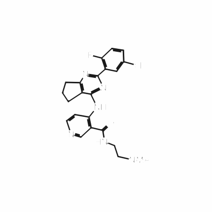 CNCCNC(=O)c1cnccc1Nc1nc(-c2cc(Cl)ccc2F)nc2c1CCC2